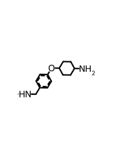 [NH]Cc1ccc(OC2CCC(N)CC2)cc1